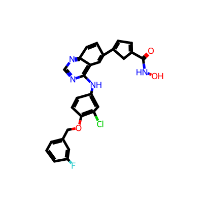 O=C(NO)C1=CC=C(c2ccc3ncnc(Nc4ccc(OCc5cccc(F)c5)c(Cl)c4)c3c2)C1